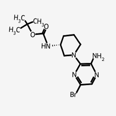 CC(C)(C)OC(=O)N[C@@H]1CCCN(c2nc(Br)cnc2N)C1